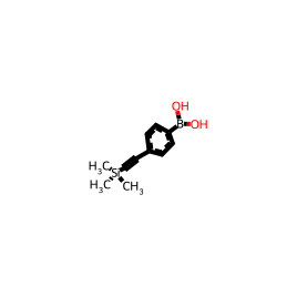 C[Si](C)(C)C#Cc1ccc(B(O)O)cc1